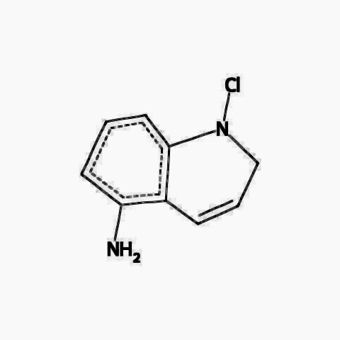 Nc1cccc2c1C=CCN2Cl